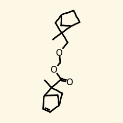 CC1(COCOC(=O)C2(C)CC3C=CC2C3)CC2CCC1C2